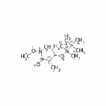 CON(C)C(=O)[C@@H](C)CO[Si](C)(C)C(C)(C)C